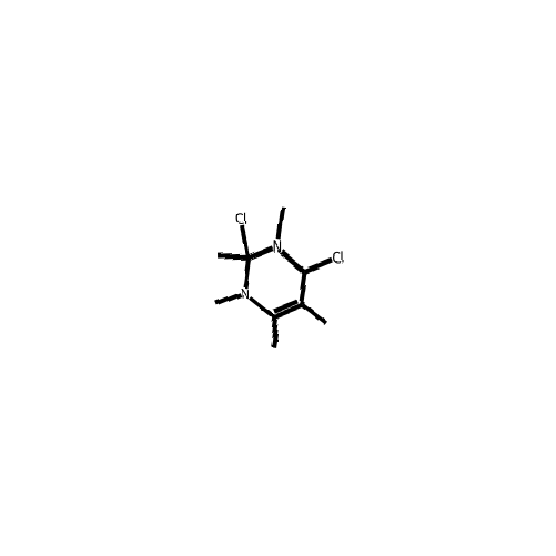 CC1=C(C)N(C)C(C)(Cl)N(C)C1Cl